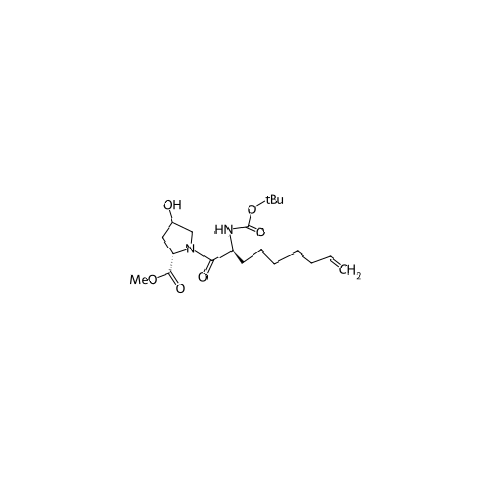 C=CCCCCC[C@H](NC(=O)OC(C)(C)C)C(=O)N1CC(O)C[C@H]1C(=O)OC